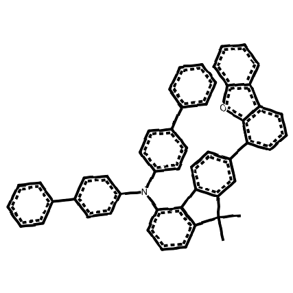 CC1(C)c2cc(-c3cccc4c3oc3ccccc34)ccc2-c2c(N(c3ccc(-c4ccccc4)cc3)c3ccc(-c4ccccc4)cc3)cccc21